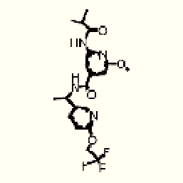 COc1cc(C(=O)NC(C)c2ccc(OCC(F)(F)F)nc2)cc(NC(=O)C(C)C)n1